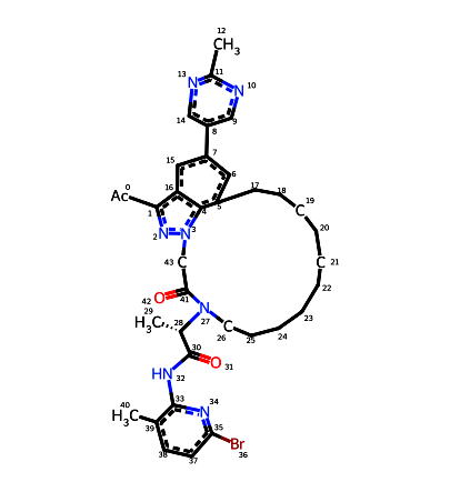 CC(=O)c1nn2c3c(cc(-c4cnc(C)nc4)cc13)CCCCCCCCCCN([C@@H](C)C(=O)Nc1nc(Br)ccc1C)C(=O)C2